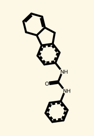 O=C(Nc1ccccc1)Nc1ccc2c(c1)CC1=CC=CCC12